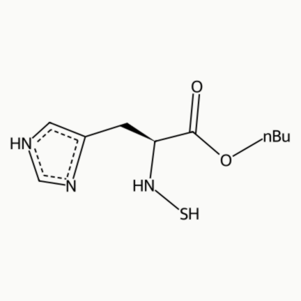 CCCCOC(=O)[C@H](Cc1c[nH]cn1)NS